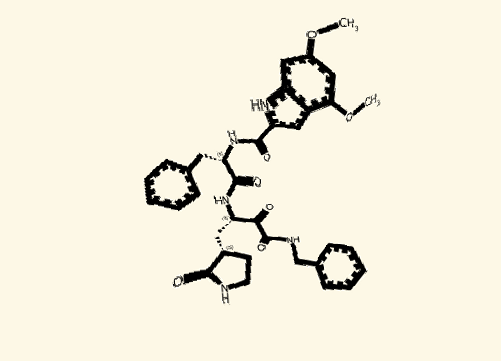 COc1cc(OC)c2cc(C(=O)N[C@@H](Cc3ccccc3)C(=O)N[C@@H](C[C@@H]3CCNC3=O)C(=O)C(=O)NCc3ccccc3)[nH]c2c1